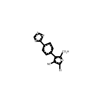 CCc1sc(C(=O)O)c(-c2ccc(-c3ncsn3)cc2)c1C#N